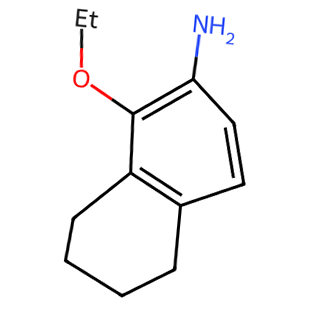 CCOc1c(N)ccc2c1CCCC2